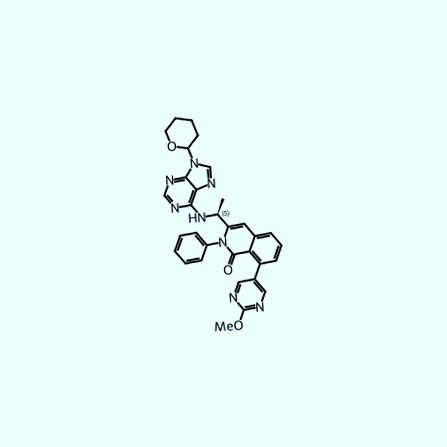 COc1ncc(-c2cccc3cc([C@H](C)Nc4ncnc5c4ncn5C4CCCCO4)n(-c4ccccc4)c(=O)c23)cn1